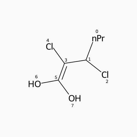 CCCC(Cl)C(Cl)=C(O)O